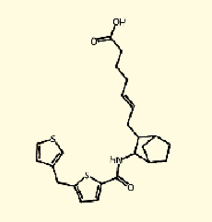 O=C(O)CCCC=CCC1C2CCC(C2)C1NC(=O)c1ccc(Cc2ccsc2)s1